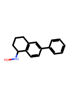 ONC1CCCc2cc(-c3ccccc3)ccc21